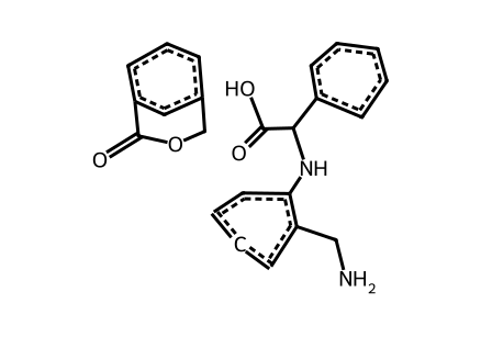 NCc1ccccc1NC(C(=O)O)c1ccccc1.O=C1OCc2cccc1c2